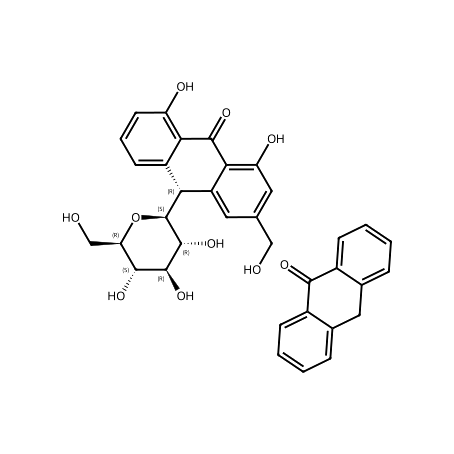 O=C1c2c(O)cccc2[C@@H]([C@@H]2O[C@H](CO)[C@@H](O)[C@H](O)[C@H]2O)c2cc(CO)cc(O)c21.O=C1c2ccccc2Cc2ccccc21